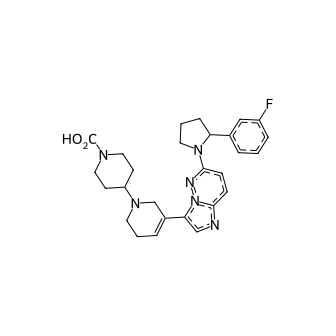 O=C(O)N1CCC(N2CCC=C(c3cnc4ccc(N5CCCC5c5cccc(F)c5)nn34)C2)CC1